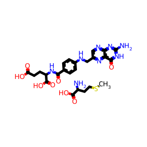 CSCCC(N)C(=O)O.Nc1nc2ncc(CNc3ccc(C(=O)NC(CCC(=O)O)C(=O)O)cc3)nc2c(=O)[nH]1